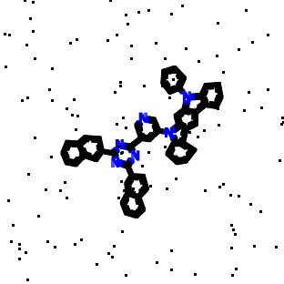 c1ccc(-n2c3ccccc3c3cc4c5ccccc5n(-c5cncc(-c6nc(-c7ccc8ccccc8c7)nc(-c7ccc8ccccc8c7)n6)c5)c4cc32)cc1